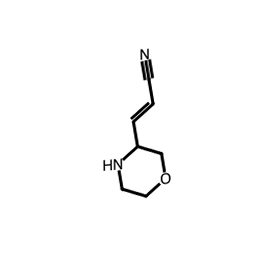 N#CC=CC1COCCN1